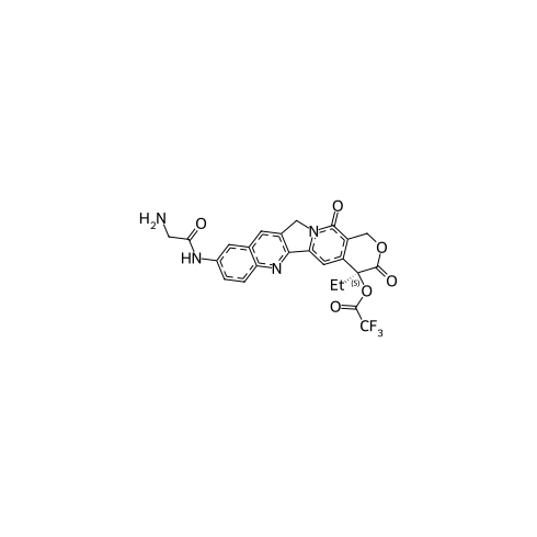 CC[C@@]1(OC(=O)C(F)(F)F)C(=O)OCc2c1cc1n(c2=O)Cc2cc3cc(NC(=O)CN)ccc3nc2-1